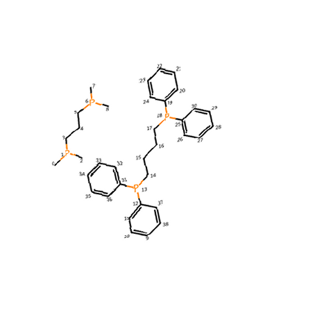 CP(C)CCCP(C)C.c1ccc(P(CCCCP(c2ccccc2)c2ccccc2)c2ccccc2)cc1